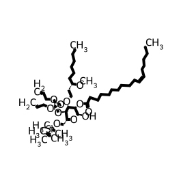 C=CCOP(=O)(OCC=C)O[C@H]1[C@H](OCC[C@H](CCCCCCC)OC)[C@@H](OC(=O)CCCCCCCCC/C=C\CCCCCC)[C@@H](O)O[C@@H]1CO[Si](C)(C)C(C)(C)C